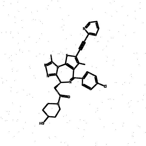 Cc1c(C#Cc2ccccn2)sc2c1C(c1ccc(Cl)cc1)=N[C@@H](CC(=O)N1CCC(O)CC1)c1nnc(C)n1-2